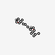 c1ccc(-c2cc(-c3c4ccccc4c(-c4ccc(-c5ccc(-c6ccc7cc(-c8c9ccccc9c(-c9cccc%10oc%11ccccc%11c9%10)c9ccccc89)ccc7c6)cc5)c5oc6ccccc6c45)c4ccccc34)c3ccccc3c2)cc1